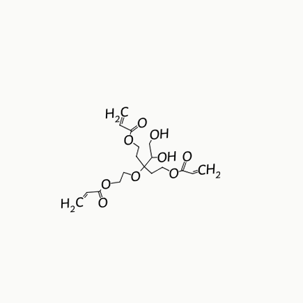 C=CC(=O)OCCOC(CCOC(=O)C=C)(CCOC(=O)C=C)C(O)CO